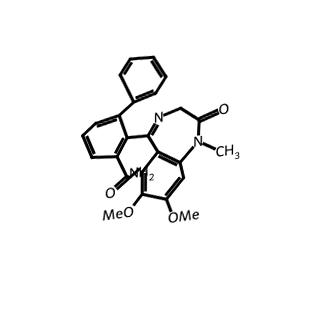 COc1cc2c(cc1OC)N(C)C(=O)CN=C2c1c(C(N)=O)cccc1-c1ccccc1